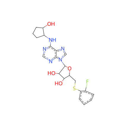 OC1CCCC1Nc1ncnc2c1ncn2C1OC(CSc2ccccc2F)C(O)C1O